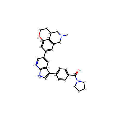 CN1Cc2cc(-c3cnc4[nH]cc(-c5ccc(C(=O)N6CCCC6)cc5)c4c3)cc3c2C(CCO3)C1